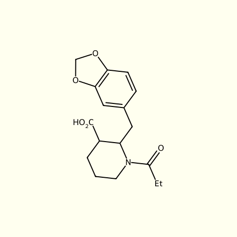 CCC(=O)N1CCCC(C(=O)O)C1Cc1ccc2c(c1)OCO2